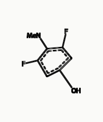 CNc1c(F)cc(O)cc1F